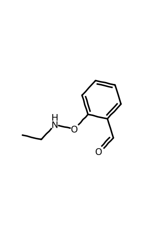 CCNOc1ccccc1C=O